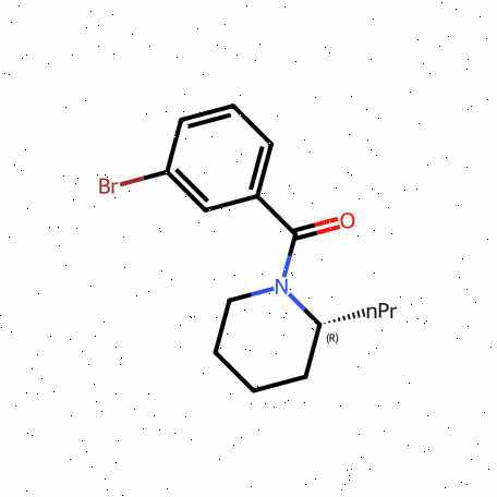 CCC[C@@H]1CCCCN1C(=O)c1cccc(Br)c1